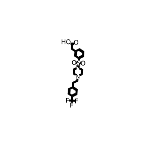 O=C(O)Cc1cccc(S(=O)(=O)N2CCN(CCc3ccc(C(F)(F)F)cc3)CC2)c1